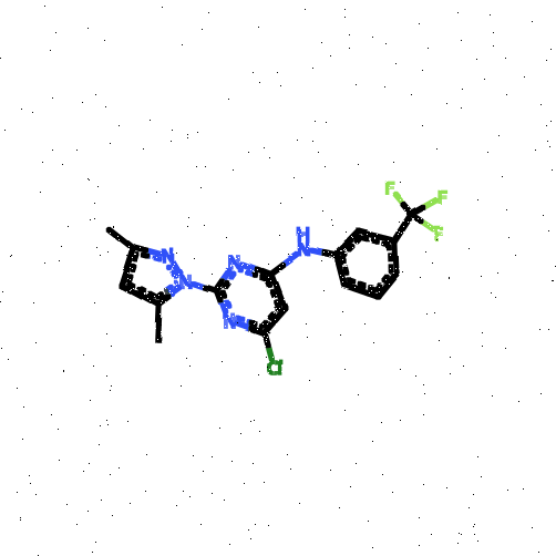 Cc1cc(C)n(-c2nc(Cl)cc(Nc3cccc(C(F)(F)F)c3)n2)n1